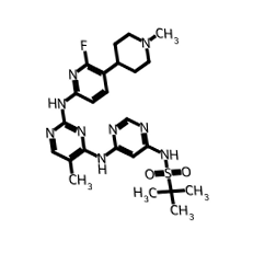 Cc1cnc(Nc2ccc(C3CCN(C)CC3)c(F)n2)nc1Nc1cc(NS(=O)(=O)C(C)(C)C)ncn1